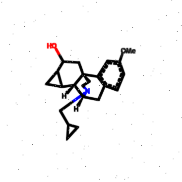 COc1ccc2c(c1)[C@]13CCN(CC4CC4)[C@H](C2)[C@@H]1C1CC1C(O)C3